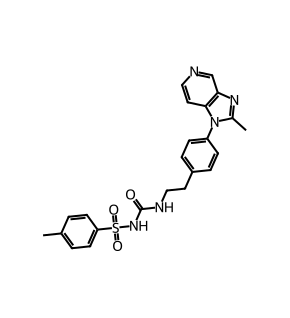 Cc1ccc(S(=O)(=O)NC(=O)NCCc2ccc(-n3c(C)nc4cnccc43)cc2)cc1